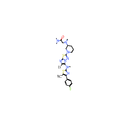 CCc1nc2sc(N3CCCC(N(C)CC(=O)N(C)C)C3)nn2c1N(C)c1nc(-c2ccc(F)cc2)c(C#N)s1